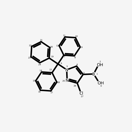 OB(O)c1cn(C(c2ccccc2)(c2ccccc2)c2ccccc2)nc1Cl